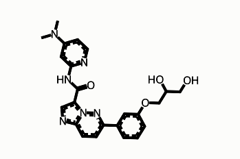 CN(C)c1ccnc(NC(=O)c2cnc3ccc(-c4cccc(OCC(O)CO)c4)nn23)c1